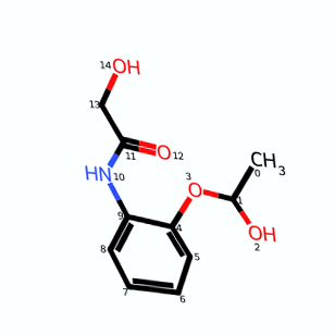 CC(O)Oc1ccccc1NC(=O)CO